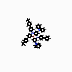 CC(C)(C)c1ccc(-c2ccc(N3c4ccc(-c5ccc(C(C)(C)C)cc5)cc4B4c5ccc(N6C7CC8CC(C7)CC6C8)cc5N(c5ccc(-c6ccccc6)cc5)c5cc(-n6c7ccccc7c7ccccc76)cc3c54)cc2)cc1